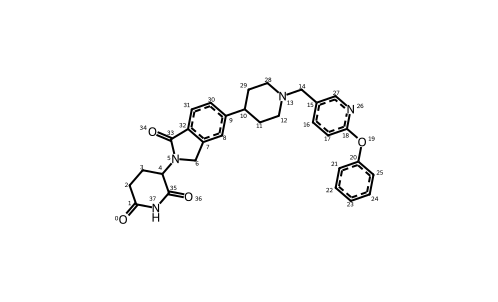 O=C1CCC(N2Cc3cc(C4CCN(Cc5ccc(Oc6ccccc6)nc5)CC4)ccc3C2=O)C(=O)N1